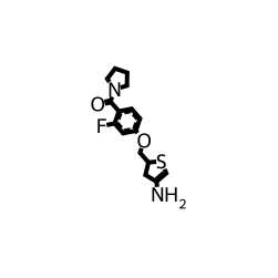 NC1=CSC(COc2ccc(C(=O)N3CCCC3)c(F)c2)C1